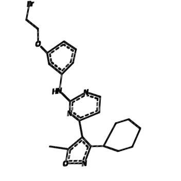 Cc1onc(C2CCCCC2)c1-c1ccnc(Nc2cccc(OCCBr)c2)n1